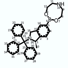 C[C@@H]1c2ccc(B3OCCNCCO3)cc2CN1C(c1ccccc1)(c1ccccc1)c1ccccc1